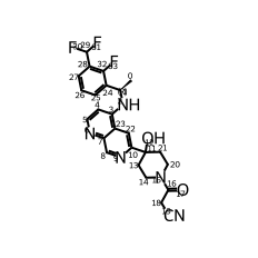 C[C@@H](Nc1ccnc2cnc(C3(O)CCN(C(=O)CC#N)CC3)cc12)c1cccc(C(F)F)c1F